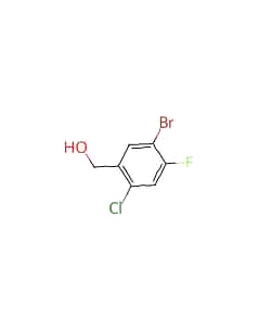 OCc1cc(Br)c(F)cc1Cl